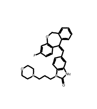 O=c1[nH]c2cc(C=C3c4ccccc4COc4cc(F)ccc43)ccc2n1CCCN1CCOCC1